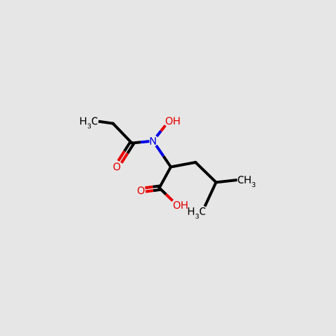 CCC(=O)N(O)C(CC(C)C)C(=O)O